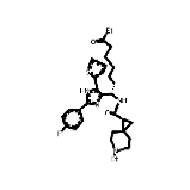 CCC(=O)CCCCC[C@H](NC(=O)C1CC12CCN(CC)CC2)c1nc(-c2ccc(F)cc2)[nH]c1-c1cccs1